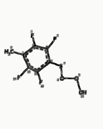 Cc1c(F)c(F)c(SOOO)c(F)c1F